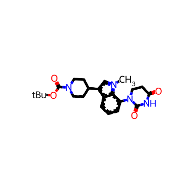 Cn1cc(C2CCN(C(=O)OC(C)(C)C)CC2)c2cccc(N3CCC(=O)NC3=O)c21